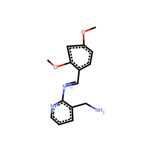 COc1ccc(/C=N/c2ncccc2CN)c(OC)c1